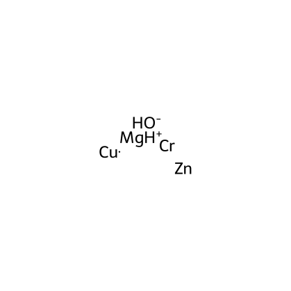 [Cr].[Cu].[MgH+].[OH-].[Zn]